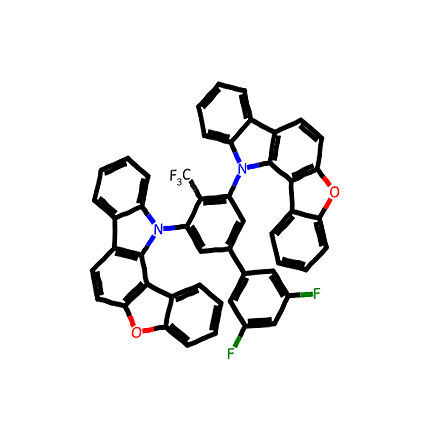 Fc1cc(F)cc(-c2cc(-n3c4ccccc4c4ccc5oc6ccccc6c5c43)c(C(F)(F)F)c(-n3c4ccccc4c4ccc5oc6ccccc6c5c43)c2)c1